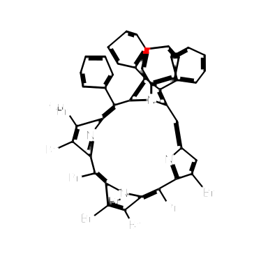 BrC1=Cc2cc3c(-c4ccccc4)c(-c4ccccc4)c(c(-c4ccccc4)c4nc(c(Br)c5c(Br)c(Br)c(c(Br)c1n2)n5Br)C(Br)=C4Br)n3-c1ccccc1.[Cu]